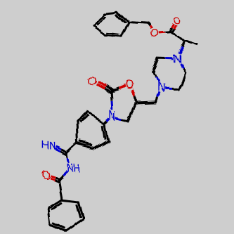 CC(C(=O)OCc1ccccc1)N1CCN(CC2CN(c3ccc(C(=N)NC(=O)c4ccccc4)cc3)C(=O)O2)CC1